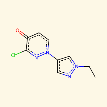 CCn1cc(-n2ccc(=O)c(Cl)n2)cn1